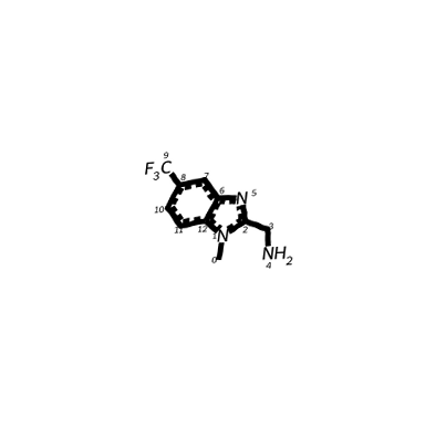 Cn1c(CN)nc2cc(C(F)(F)F)ccc21